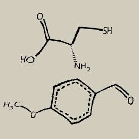 COc1ccc(C=O)cc1.N[C@@H](CS)C(=O)O